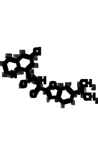 CN(C)c1ccc2cc(C(=O)N[S+]([O-])c3cc(Cl)cc4cccnc34)oc2c1